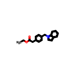 CCOC(=O)Cc1ccc(Cn2ccc3ccccc32)cc1